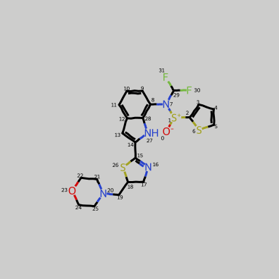 [O-][S+](c1cccs1)N(c1cccc2cc(C3=NCC(CN4CCOCC4)S3)[nH]c12)C(F)F